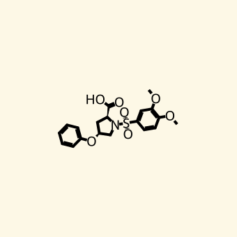 COc1ccc(S(=O)(=O)N2C[C@@H](Oc3ccccc3)C[C@H]2C(=O)O)cc1OC